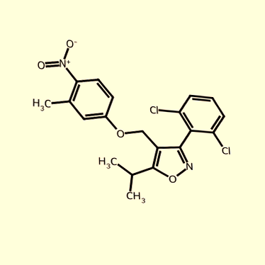 Cc1cc(OCc2c(-c3c(Cl)cccc3Cl)noc2C(C)C)ccc1[N+](=O)[O-]